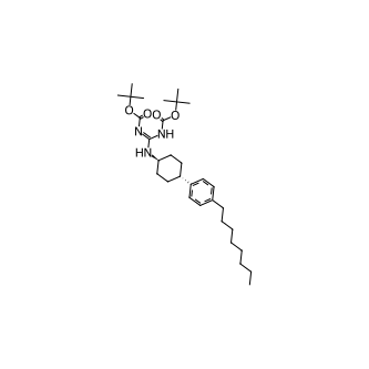 CCCCCCCCc1ccc([C@H]2CC[C@H](N/C(=N/C(=O)OC(C)(C)C)NC(=O)OC(C)(C)C)CC2)cc1